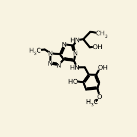 CCC(CO)Nc1nc(NCc2c(O)cc(OC)cc2O)c2nnn(CC)c2n1